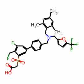 Cc1cc(C)c(CN(Cc2ccc(-c3cc(F)c(CF)c(S(=O)(=O)CC(=O)O)c3)cc2)Cc2ccc(C(F)(F)F)o2)c(C)c1